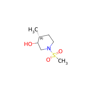 C[C@@H]1CCN(S(C)(=O)=O)CC1O